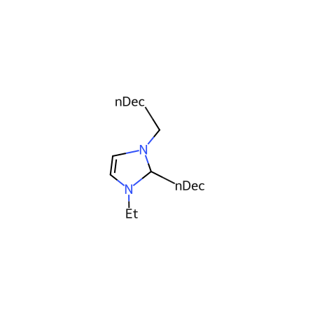 CCCCCCCCCCCN1C=CN(CC)C1CCCCCCCCCC